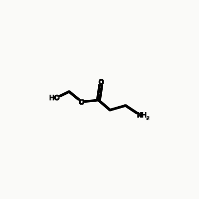 NCCC(=O)OCO